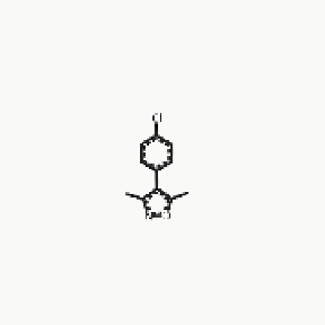 Cc1noc(C)c1-c1ccc(Cl)cc1